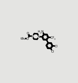 CC(C)(C)OC(=O)N1CCN(c2cc(-c3ccc(Cl)c(Cl)c3)c(C(F)(F)F)cc2N)CC1